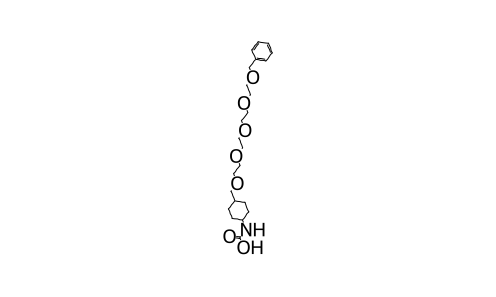 O=C(O)NC1CCC(COCCOCCOCCOCCOCc2ccccc2)CC1